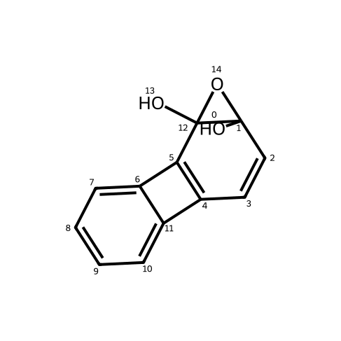 OC12C=CC3=C(c4ccccc43)C1(O)O2